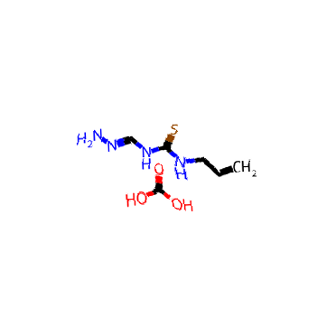 C=CCNC(=S)NC=NN.O=C(O)O